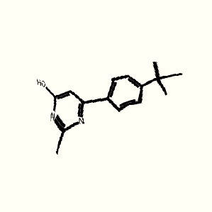 Cc1nc(O)cc(-c2ccc(C(C)(C)C)cc2)n1